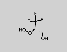 OC[C@H](OO)C(F)(F)F